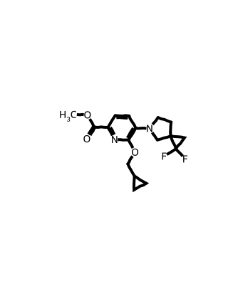 COC(=O)c1ccc(N2CCC3(C2)CC3(F)F)c(OCC2CC2)n1